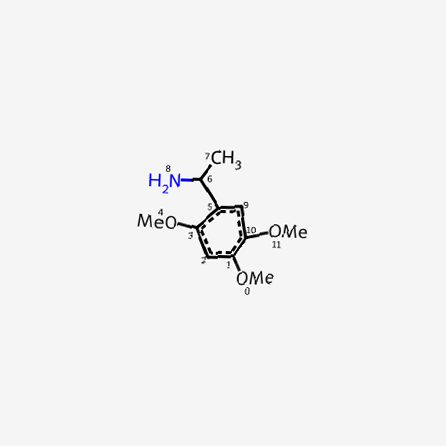 COc1cc(OC)c(C(C)N)cc1OC